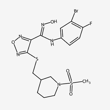 CS(=O)(=O)N1CCCC(CSc2nonc2/C(=N/O)Nc2ccc(F)c(Br)c2)C1